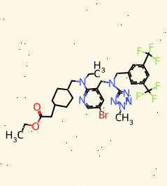 CCOC(=O)CC1CCC(CN(CC)c2ncc(Br)cc2CN(Cc2cc(C(F)(F)F)cc(C(F)(F)F)c2)c2nnn(C)n2)CC1